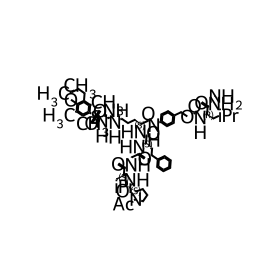 CC(=O)N1CCC[C@H]1C(=O)N[C@@H](CC(C)C)C(=O)NCC(=O)N[C@@H](CCc1ccccc1)C(=O)N[C@@H](CCCNC(=N)NS(=O)(=O)c1c(C)c(C)c2c(c1C)CCC(C)(C)O2)C(=O)Nc1ccc(COC(=O)N[C@H](CC(C)C)C(=O)NN)cc1